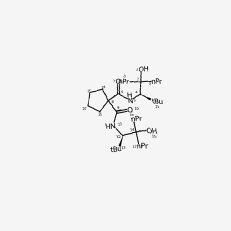 CCCC(O)(CCC)[C@H](NC(=O)C1(C(=O)N[C@H](C(C)(C)C)C(O)(CCC)CCC)CCCC1)C(C)(C)C